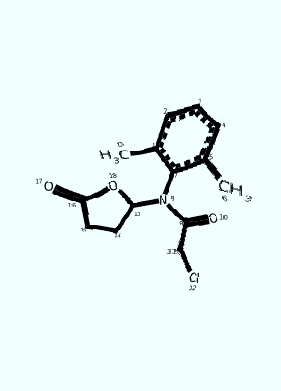 Cc1cccc(C)c1N(C(=O)CCl)C1CCC(=O)O1